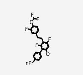 CCCc1ccc(-c2c([O])cc(F)c(CCc3ccc(OC(F)F)c(F)c3)c2F)cc1